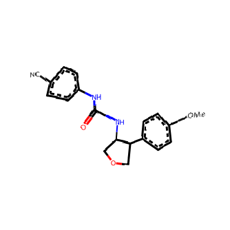 COc1ccc(C2COCC2NC(=O)Nc2ccc(C#N)cc2)cc1